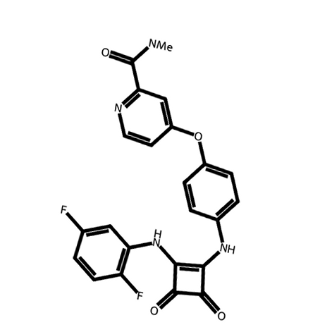 CNC(=O)c1cc(Oc2ccc(Nc3c(Nc4cc(F)ccc4F)c(=O)c3=O)cc2)ccn1